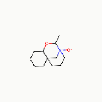 CC1OC2CCCCC23CCC[N+]1([O-])C3